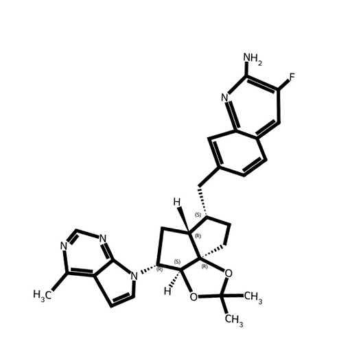 Cc1ncnc2c1ccn2[C@@H]1C[C@@H]2[C@H](Cc3ccc4cc(F)c(N)nc4c3)CC[C@@]23OC(C)(C)O[C@@H]13